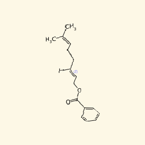 CC(C)=CCC/C(I)=C/COC(=O)c1ccccc1